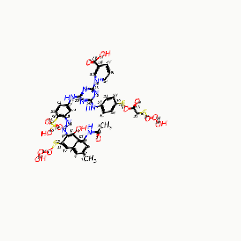 CC(=O)Nc1cc(C)cc2cc(SOOO)c(N=Nc3cc(Nc4nc(Nc5ccc(SOC(=O)CSOOO)cc5)nc(-[n+]5cccc(C(=O)O)c5)n4)ccc3S(=O)(=O)O)c(O)c12